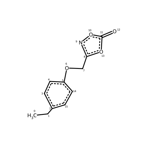 CCc1ccc(OCc2noc(=O)o2)cc1